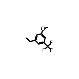 CCc1cc(OC)cc(C(F)(F)F)c1